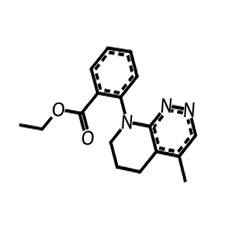 CCOC(=O)c1ccccc1N1CCCc2c(C)cnnc21